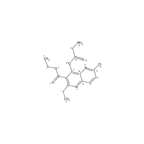 CCOC(=O)c1c(CC)nc2ccc(Cl)nc2c1OC(=O)CN